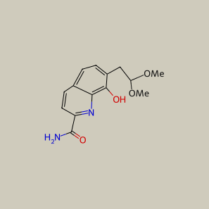 COC(Cc1ccc2ccc(C(N)=O)nc2c1O)OC